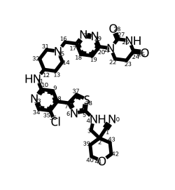 N#CC1(CNc2nc(-c3cc(NC4CCN(Cc5ccc(N6CCC(=O)NC6=O)nn5)CC4)ncc3Cl)cs2)CCOCC1